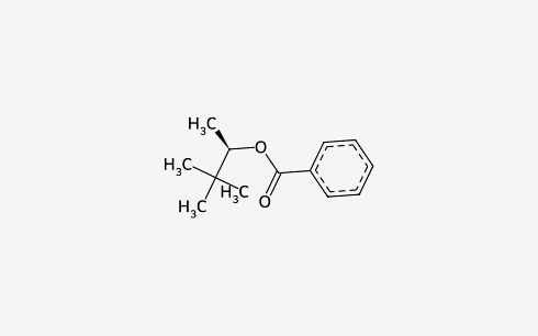 C[C@@H](OC(=O)c1ccccc1)C(C)(C)C